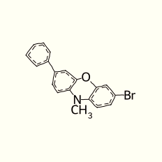 CN1c2ccc(Br)cc2Oc2cc(-c3ccccc3)ccc21